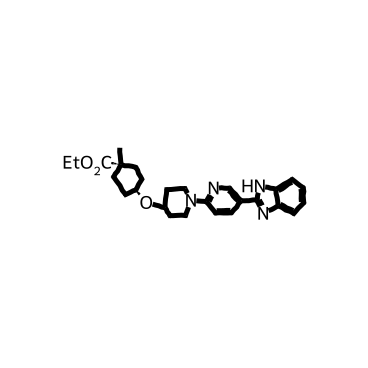 CCOC(=O)[C@]1(C)CC[C@H](OC2CCN(c3ccc(-c4nc5ccccc5[nH]4)cn3)CC2)CC1